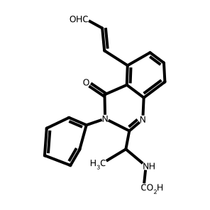 CC(NC(=O)O)c1nc2cccc(/C=C/C=O)c2c(=O)n1-c1ccccc1